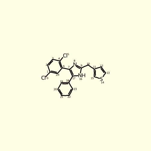 Clc1ccc(Cl)c(-c2nc(Cc3ccsc3)[nH]c2-c2ccccc2)c1